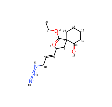 CCOC(=O)C1(CCC=CCN=[N+]=[N-])CCCCC1=O